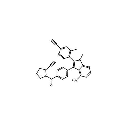 C#Cc1cc(C)c(-c2c(-c3ccc(C(=O)N4CCCC4C#C)cc3)c3c(N)ncnc3n2C)cn1